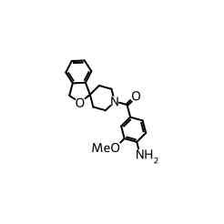 COc1cc(C(=O)N2CCC3(CC2)OCc2ccccc23)ccc1N